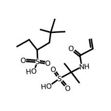 C=CC(=O)NC(C)(C)S(=O)(=O)O.CCC(CC(C)(C)C)S(=O)(=O)O